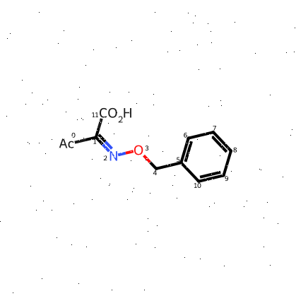 CC(=O)C(=NOCc1ccccc1)C(=O)O